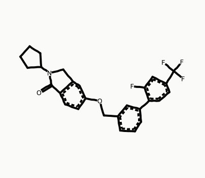 O=C1c2ccc(OCc3cccc(-c4ccc(C(F)(F)F)cc4F)c3)cc2CN1C1CCCC1